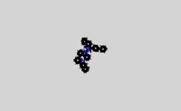 c1ccc(-c2ccc(-c3nc(-n4c5cccc6c7cccc8c9cc%10ccccc%10cc9n(c9cccc4c9c65)c78)nc4c3ccc3ccccc34)cc2)cc1